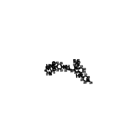 Cc1nccnc1NS(=O)(=O)c1ccc(NCC#Cc2cc3c(NC4CCN(C)CC4)cccc3n2CC(F)(F)F)cc1